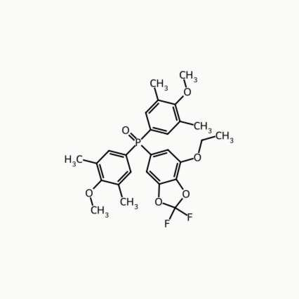 CCOc1cc(P(=O)(c2cc(C)c(OC)c(C)c2)c2cc(C)c(OC)c(C)c2)cc2c1OC(F)(F)O2